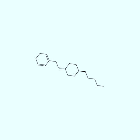 CCCCC[C@H]1CC[C@H](CCC2=CCCC=[C]2)CC1